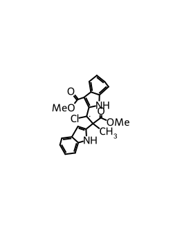 COC(=O)c1c([C](Cl)C(C)(C(=O)OC)c2cc3ccccc3[nH]2)[nH]c2ccccc12